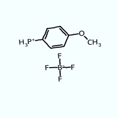 COc1ccc([PH3+])cc1.F[B-](F)(F)F